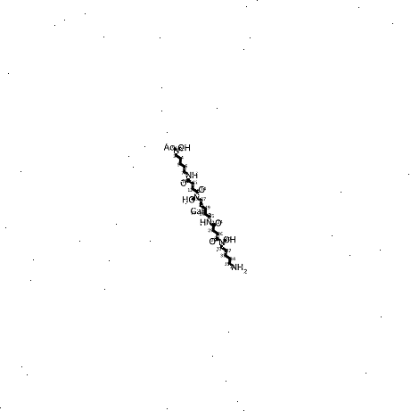 CC(=O)N(O)CCCCCNC(=O)CCC(=O)N(O)CCCCCNC(=O)CCC(=O)N(O)CCCCCN.[GaH3]